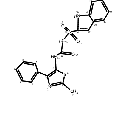 Cc1nc(-c2ccccc2)c(NC(=O)NS(=O)(=O)c2cc3ccccc3[nH]2)s1